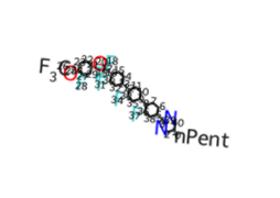 CCCCCc1cnc(-c2ccc(-c3ccc(-c4ccc(C(F)(F)Oc5ccc(OC(F)(F)F)c(F)c5)c(F)c4)c(F)c3)c(F)c2)nc1